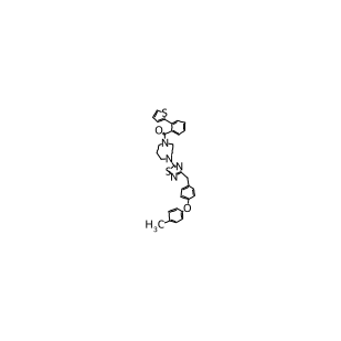 Cc1ccc(Oc2ccc(Cc3nsc(N4CCCN(C(=O)c5ccccc5-c5cccs5)CC4)n3)cc2)cc1